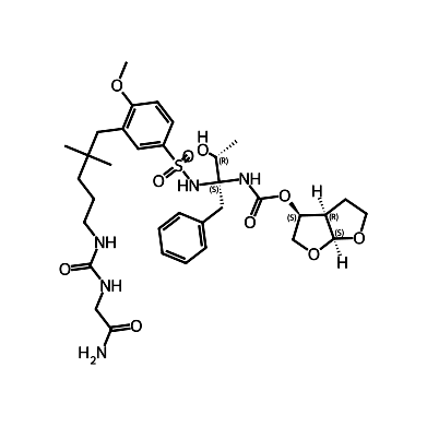 COc1ccc(S(=O)(=O)N[C@](Cc2ccccc2)(NC(=O)O[C@@H]2CO[C@@H]3OCC[C@@H]32)[C@@H](C)O)cc1CC(C)(C)CCCNC(=O)NCC(N)=O